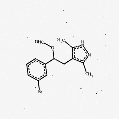 Cc1n[nH]c(C)c1CC(OC=O)c1cccc(Br)c1